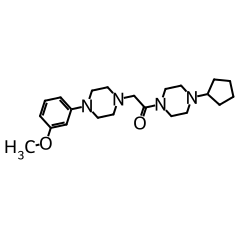 COc1cccc(N2CCN(CC(=O)N3CCN(C4CCCC4)CC3)CC2)c1